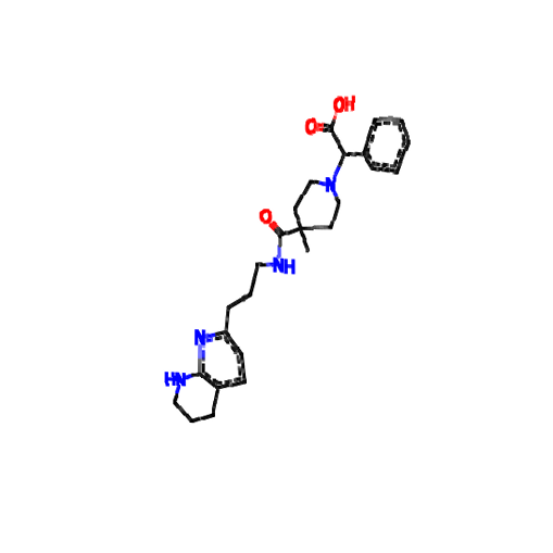 CC1(C(=O)NCCCc2ccc3c(n2)NCCC3)CCN(C(C(=O)O)c2ccccc2)CC1